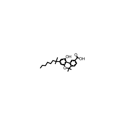 CCCCCCC(C)(C)c1cc(O)c2c(c1)OC(C)(C)c1ccc(C(=O)O)cc1-2